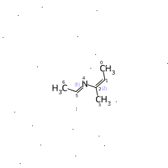 C/C=C(C)\N=C\C